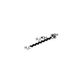 CCCCCCCCCCCCCCCCOS(=O)(=O)O.CCO